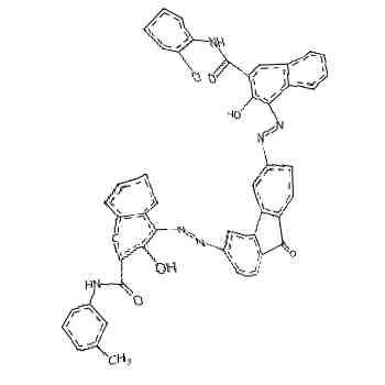 Cc1cccc(NC(=O)c2cc3ccccc3c(N=Nc3ccc4c(c3)-c3cc(N=Nc5c(O)c(C(=O)Nc6ccccc6Cl)cc6ccccc56)ccc3C4=O)c2O)c1